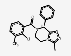 Cc1nnc2n1CCN(C(=O)c1cccc(C(F)(F)F)c1Cl)[C@H]2c1ccccc1